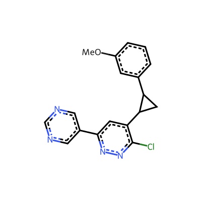 COc1cccc(C2CC2c2cc(-c3cncnc3)nnc2Cl)c1